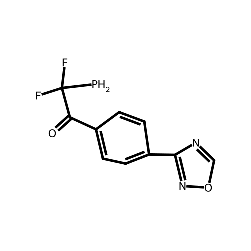 O=C(c1ccc(-c2ncon2)cc1)C(F)(F)P